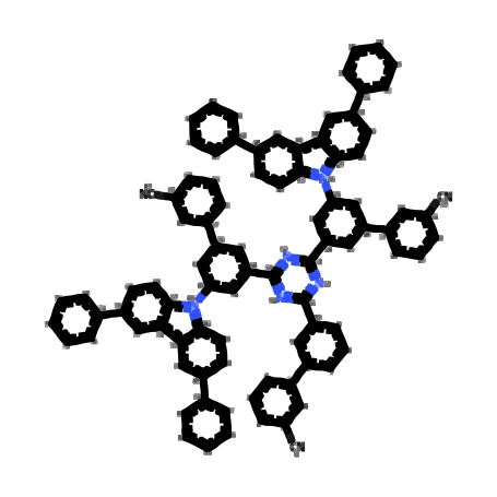 N#Cc1cccc(-c2cccc(-c3nc(-c4cc(-c5cccc(C#N)c5)cc(-n5c6ccc(-c7ccccc7)cc6c6cc(-c7ccccc7)ccc65)c4)nc(-c4cc(-c5cccc(C#N)c5)cc(-n5c6ccc(-c7ccccc7)cc6c6cc(-c7ccccc7)ccc65)c4)n3)c2)c1